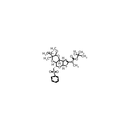 CO[C@@]1(C)O[C@@H]2[C@H]3N=C(N(C)C(=O)OC(C)(C)C)S[C@H]3O[C@H](CS(=O)(=O)c3ccccc3)[C@H]2O[C@]1(C)OC